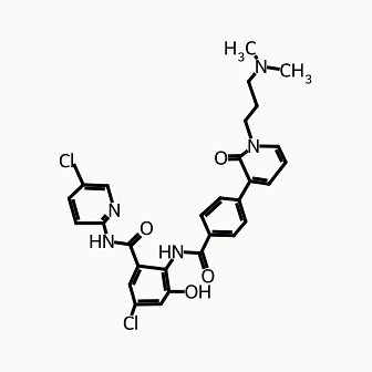 CN(C)CCCn1cccc(-c2ccc(C(=O)Nc3c(O)cc(Cl)cc3C(=O)Nc3ccc(Cl)cn3)cc2)c1=O